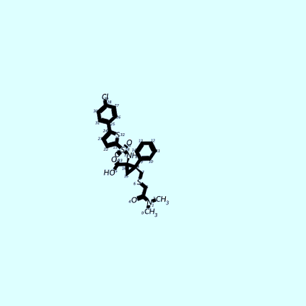 CN(C)C(=O)CSC[C@@]1(c2ccccc2)C[C@]1(NS(=O)(=O)c1ccc(-c2ccc(Cl)cc2)s1)C(=O)O